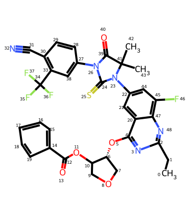 CCc1nc(O[C@@H]2COCC2OC(=O)c2ccccc2)c2cc(N3C(=S)N(c4ccc(C#N)c(C(F)(F)F)c4)C(=O)C3(C)C)cc(F)c2n1